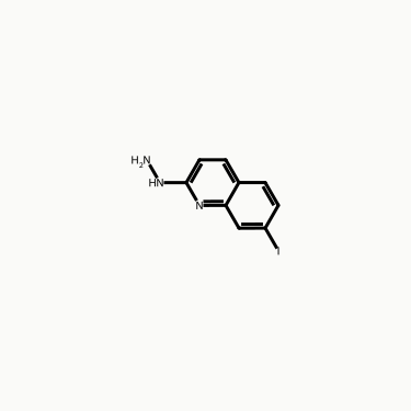 NNc1ccc2ccc(I)cc2n1